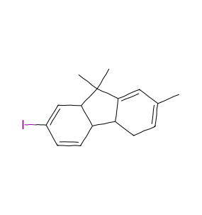 CC1=CCC2C(=C1)C(C)(C)C1C=C(I)C=CC21